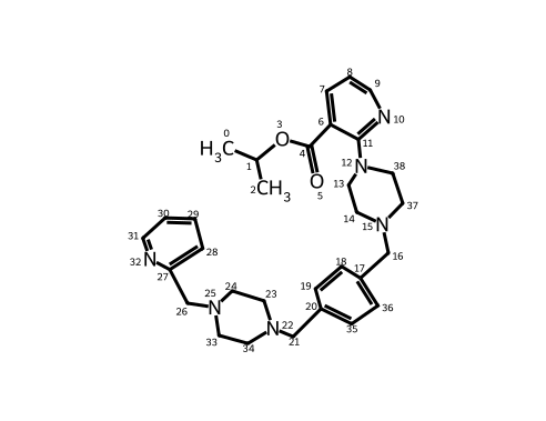 CC(C)OC(=O)c1cccnc1N1CCN(Cc2ccc(CN3CCN(Cc4ccccn4)CC3)cc2)CC1